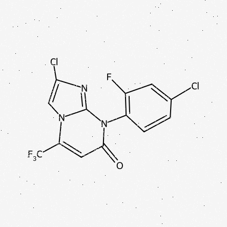 O=c1cc(C(F)(F)F)n2cc(Cl)nc2n1-c1ccc(Cl)cc1F